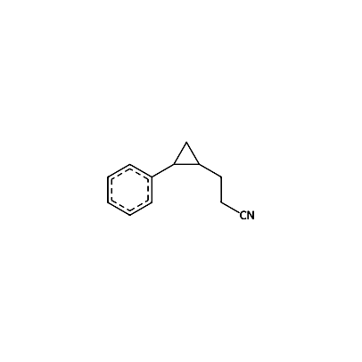 N#CCCC1CC1c1ccccc1